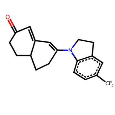 O=C1C=C2C=C(N3CCc4cc(C(F)(F)F)ccc43)CCC2CC1